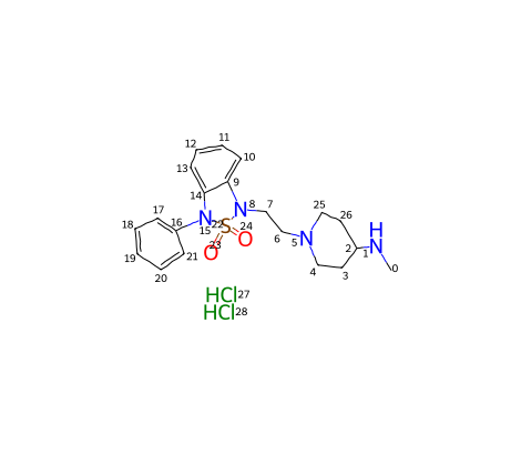 CNC1CCN(CCN2c3ccccc3N(c3ccccc3)S2(=O)=O)CC1.Cl.Cl